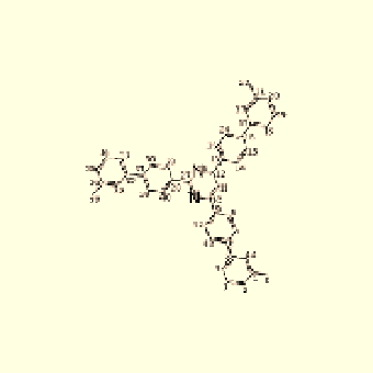 Cc1cccc(-c2ccc(-c3cc(-c4ccc(-c5cccc(C)c5)cc4)nc(-c4ccc(-c5cccc(C)c5)cc4)n3)cc2)c1